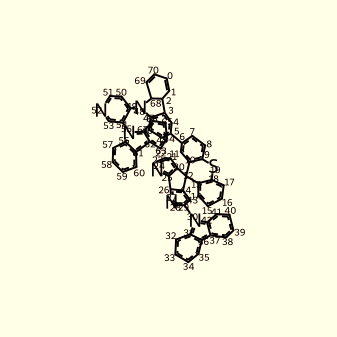 C1=CC2c3cc(-c4ccc5c(c4)C4(c6ccccc6S5)c5cccnc5-c5ncc(-n6c7ccccc7c7ccccc76)cc54)ccc3N(c3ccncc3-n3c4ccccc4c4ccccc43)C2C=C1